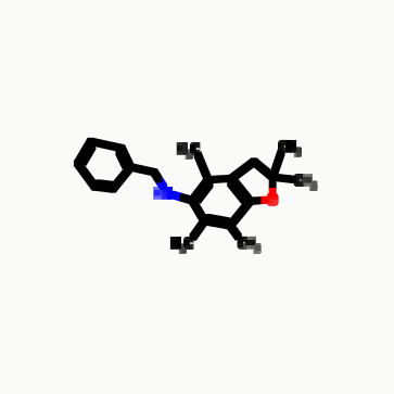 Cc1c(C)c2c(c(C)c1NCc1ccccc1)CC(C)(C)O2